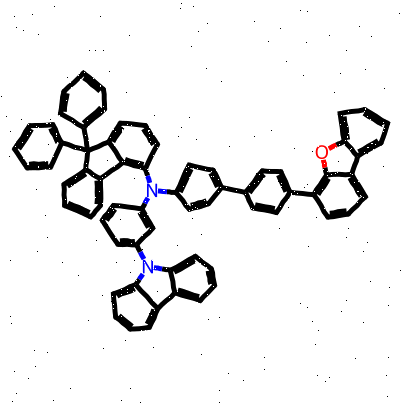 c1ccc(C2(c3ccccc3)c3ccccc3-c3c(N(c4ccc(-c5ccc(-c6cccc7c6oc6ccccc67)cc5)cc4)c4cccc(-n5c6ccccc6c6ccccc65)c4)cccc32)cc1